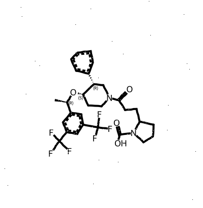 C[C@@H](O[C@H]1CCN(C(=O)CCC2CCCN2C(=O)O)C[C@H]1c1ccccc1)c1cc(C(F)(F)F)cc(C(F)(F)F)c1